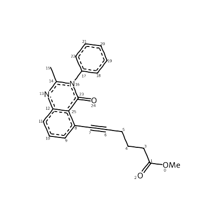 COC(=O)CCCC#Cc1cccc2nc(C)n(-c3ccccc3)c(=O)c12